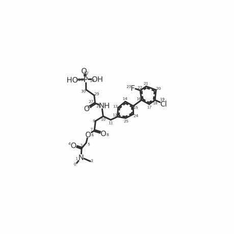 CN(C)C(=O)COC(=O)CC(Cc1ccc(-c2cc(Cl)ccc2F)cc1)NC(=O)CCP(=O)(O)O